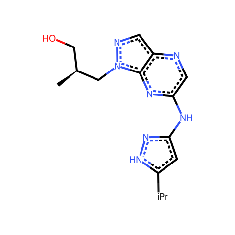 CC(C)c1cc(Nc2cnc3cnn(C[C@@H](C)CO)c3n2)n[nH]1